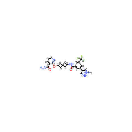 CN/C=C(\C=N)c1cc(C(=O)NC2CC3(C2)CC(Oc2ncccc2C(N)=O)C3)cc(C(F)(F)F)c1